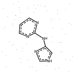 c1cnc(Nc2c[nH]cn2)nc1